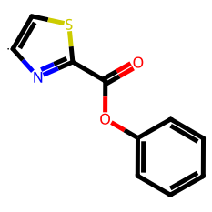 O=C(Oc1ccccc1)c1n[c]cs1